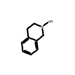 [11CH3]CCN1CCc2ccccc2C1